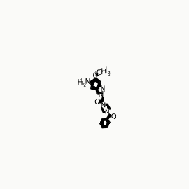 COc1cc2nn(CC(=O)N3CCN(C(=O)c4ccccc4)CC3)cc2cc1N